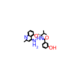 Cc1cc(N)c2c(OC[C@@H](NC(=O)c3cccc(O)c3)C(C)C)cccc2n1